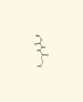 CC(C)(C)OC(=O)NNC(=O)CCO